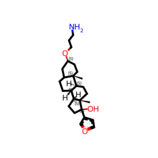 C[C@]12CC[C@H](OCCCN)CC1CC[C@@H]1[C@@H]2CC[C@@]2(C)[C@H]1CC[C@@]2(O)c1ccoc1